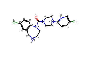 CN1CCN(C(=O)N2CCN(c3ccc(F)cn3)CC2)c2ccc(Cl)cc2C1